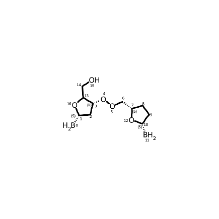 B[C@H]1C[C@@H](OOC[C@@H]2CC[C@H](B)O2)C(CO)O1